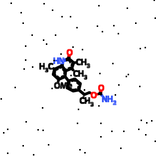 COc1cc(C)c2[nH]c(=O)c(C)c(C)c2c1-c1ccc([C@@H](C)COC(N)=O)cc1